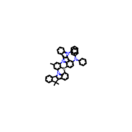 Cc1cc2c3c(c1)-n1c4c(ccc(N(c5ccccc5)c5ccccc5)c4c4c1c1ccccc1n4-c1ccccc1)B3c1cccc3c4c(n-2c13)-c1ccccc1C4(C)C